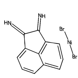 N=C1C(=N)c2cccc3cccc1c23.[Br][Ni][Br]